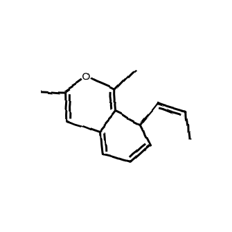 C/C=C\C1C=CC=C2C=C(C)OC(C)=C21